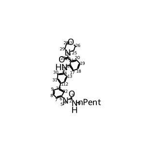 CCCCCNC(=O)N(C)c1cccc(-c2ccc(Nc3ccccc3C(=O)N3CCOCC3)cc2)c1